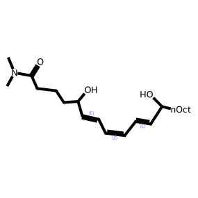 CCCCCCCCC(O)/C=C/C=C\C=C\C(O)CCCC(=O)N(C)C